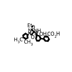 CCOC1=NN(c2ccc(C)c(C)c2)C(=O)C12NN2c1cccc(-c2cccc(C(=O)O)c2)c1O